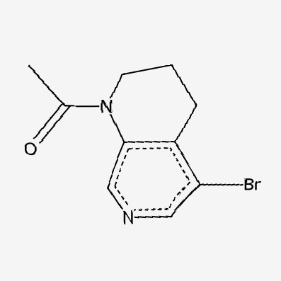 CC(=O)N1CCCc2c(Br)cncc21